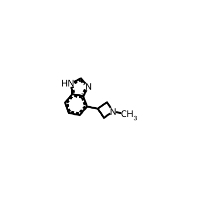 CN1CC(c2cccc3[nH]cnc23)C1